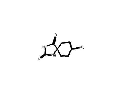 CC(C)(C)C1CCC2(CC1)NC(=O)NC2=O